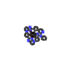 Cc1c(-c2ccccc2-c2nc3cccnc3n2-c2ccccc2)c(C)c(-c2ccccc2-c2nc3cccnc3n2-c2ccccc2)c(C)c1-c1ccccc1-c1nc2cccnc2n1-c1ccccc1